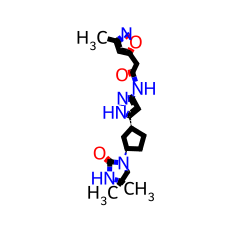 Cc1cc(CC(=O)Nc2cc([C@@H]3CC[C@H](N4CC(C)(C)NC4=O)C3)[nH]n2)on1